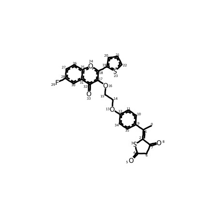 C/C(=C1/SC(=O)CC1=O)c1ccc(OCCOc2c(-c3cccs3)oc3ccc(F)cc3c2=O)cc1